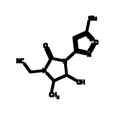 CC1C(O)N(c2cc(C(C)(C)C)on2)C(=O)N1CC#N